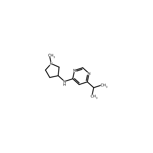 CC(C)c1cc(NC2CCN(C)C2)ncn1